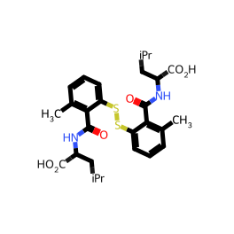 Cc1cccc(SSc2cccc(C)c2C(=O)NC(CC(C)C)C(=O)O)c1C(=O)NC(CC(C)C)C(=O)O